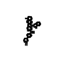 Cc1ccccc1Oc1cc2cnc(Nc3ccc(C4CCCNC4)cc3)nc2n(C2CSc3ccccc3C2)c1=O